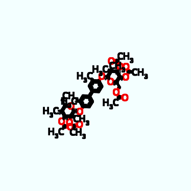 CC[C@H]1O[C@H](Oc2ccc(-c3ccc(O[C@H]4O[C@H](COC(C)=O)[C@@H](OC(C)=O)[C@H](OC(C)=O)C4(C)C)c(C)c3)cc2C)[C@@](C)(OC(C)=O)[C@@H](OC(C)=O)[C@@H]1C